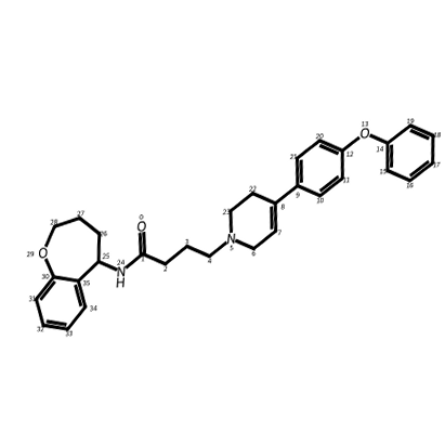 O=C(CCCN1CC=C(c2ccc(Oc3ccccc3)cc2)CC1)NC1CCCOc2ccccc21